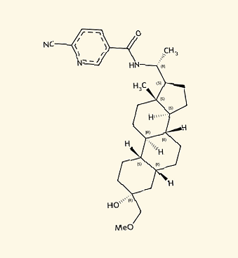 COC[C@@]1(O)CC[C@H]2[C@H](CC[C@@H]3[C@@H]2CC[C@]2(C)[C@@H]([C@@H](C)NC(=O)c4ccc(C#N)nc4)CC[C@@H]32)C1